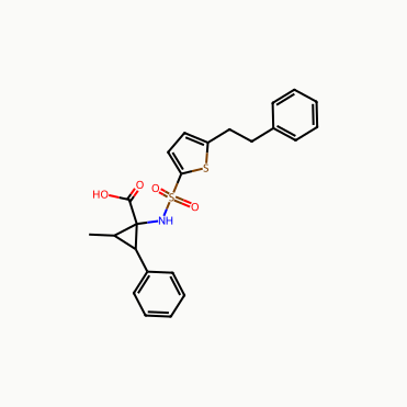 CC1C(c2ccccc2)C1(NS(=O)(=O)c1ccc(CCc2ccccc2)s1)C(=O)O